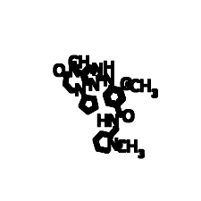 COc1cc(C(=O)NCC2CCCCN2C)ccc1Nc1ncc2c(n1)N(C1CCCC1)CCC(=O)N2C